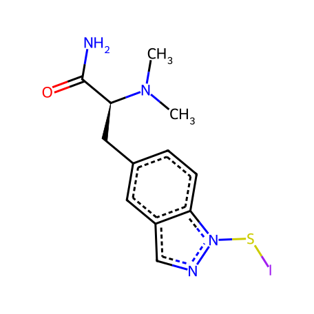 CN(C)[C@@H](Cc1ccc2c(cnn2SI)c1)C(N)=O